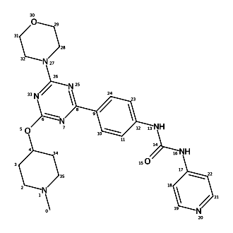 CN1CCC(Oc2nc(-c3ccc(NC(=O)Nc4ccncc4)cc3)nc(N3CCOCC3)n2)CC1